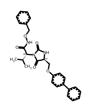 CC(C)[C@H](C(=O)NOCc1ccccc1)N1C(=O)N[C@@H](COc2ccc(-c3ccccc3)cc2)C1=O